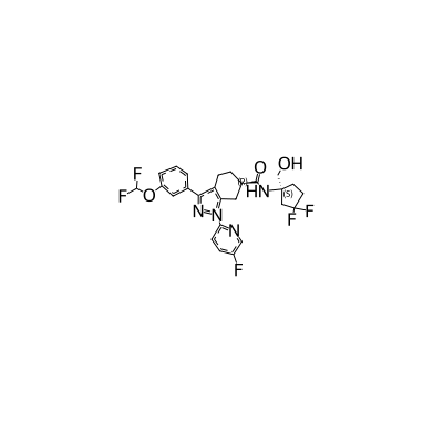 O=C(N[C@@]1(CO)CCC(F)(F)C1)[C@@H]1CCc2c(-c3cccc(OC(F)F)c3)nn(-c3ccc(F)cn3)c2C1